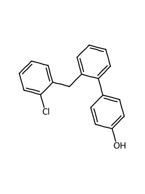 Oc1ccc(-c2ccccc2Cc2ccccc2Cl)cc1